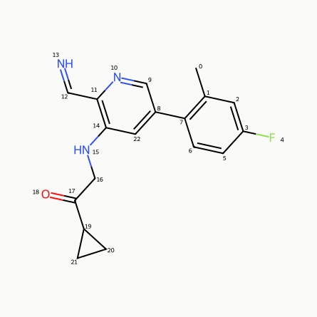 Cc1cc(F)ccc1-c1cnc(C=N)c(NCC(=O)C2CC2)c1